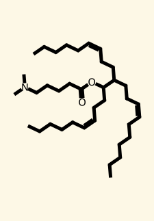 CCCCC/C=C\CCC(CC/C=C\CCCCCC)C(CC/C=C\CCCCC)OC(=O)CCCCN(C)C